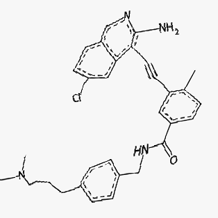 Cc1ccc(C(=O)NCc2ccc(CCCN(C)C)cc2)cc1C#Cc1c(N)ncc2ccc(Cl)cc12